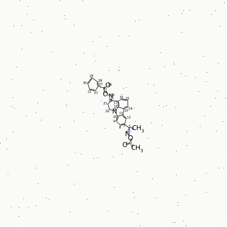 CC(=O)O/N=C(\C)c1ccc2c(c1)c1cccc3c1n2CC/C3=N\OC(=O)c1ccccc1